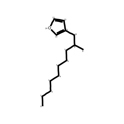 CCCCCCCCC(C)Cc1ccoc1